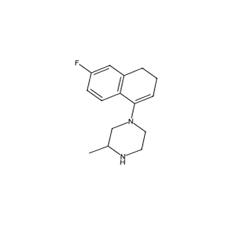 CC1CN(C2=CCCc3cc(F)ccc32)CCN1